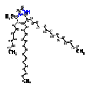 CCCCCCCCCCCCCCCCC(CCCCCCCCCCCCCCCC)c1[nH]cc[n+]1C(C)CCCCCCCCC